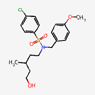 COc1ccc(CN(CCC(C)CCO)S(=O)(=O)c2ccc(Cl)cc2)cc1